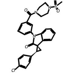 CS(=O)(=O)N1CCN(C(=O)c2cccc(N3C(=O)[C@]4(C[C@H]4c4ccc(Cl)cc4)c4ccccc43)c2)CC1